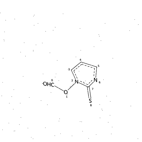 O=[C]On1cccnc1=S